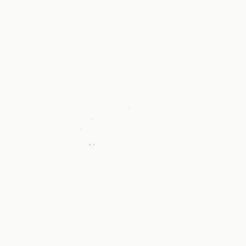 COC(=O)C(F)(OC(C(F)(F)F)(C(F)(F)F)C(F)(F)C(F)(Cl)C(F)(F)Cl)C(F)(F)F